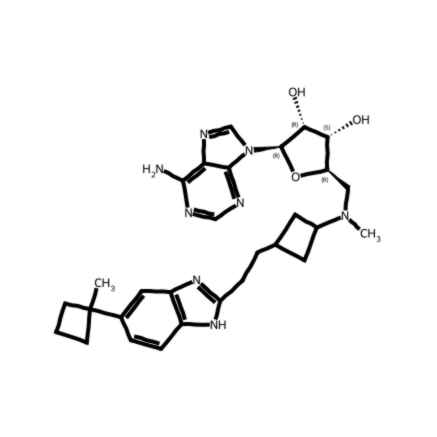 CN(C[C@H]1O[C@@H](n2cnc3c(N)ncnc32)[C@H](O)[C@@H]1O)C1CC(CCc2nc3cc(C4(C)CCC4)ccc3[nH]2)C1